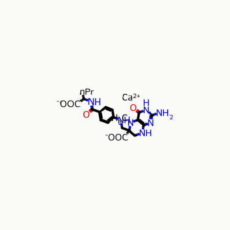 CCCC(NC(=O)c1ccc(NCC2(C(=O)[O-])CNc3nc(N)[nH]c(=O)c3N2C)cc1)C(=O)[O-].[Ca+2]